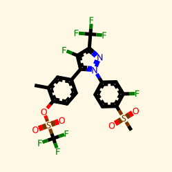 Cc1cc(-c2c(F)c(C(F)(F)F)nn2-c2ccc(S(C)(=O)=O)c(F)c2)ccc1OS(=O)(=O)C(F)(F)F